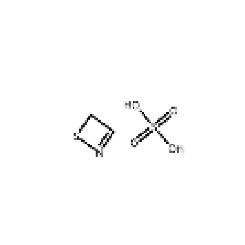 C1=NSC1.O=S(=O)(O)O